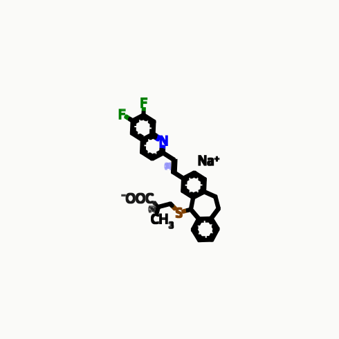 C[C@H](CSC1c2ccccc2CCc2ccc(/C=C/c3ccc4cc(F)c(F)cc4n3)cc21)C(=O)[O-].[Na+]